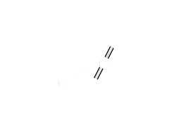 O.[LiH].[O]=[Pb]=[O].[TeH2]